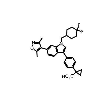 Cc1noc(C)c1-c1ccc2c(-c3ccc(C4(C(=O)O)CC4)cc3)cn(CC3CCC(F)(F)CC3)c2c1